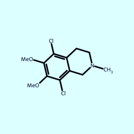 COc1c(Cl)c2c(c(Cl)c1OC)CN(C)CC2